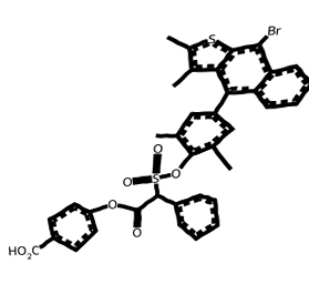 Cc1cc(-c2c3ccccc3c(Br)c3sc(C)c(C)c23)cc(C)c1OS(=O)(=O)C(C(=O)Oc1ccc(C(=O)O)cc1)c1ccccc1